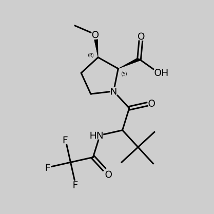 CO[C@@H]1CCN(C(=O)C(NC(=O)C(F)(F)F)C(C)(C)C)[C@@H]1C(=O)O